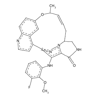 COc1c(F)cccc1Nc1c2nn3c1C(=O)NCC3C/C=C\C(C)Oc1ccc3nccc-2c3c1